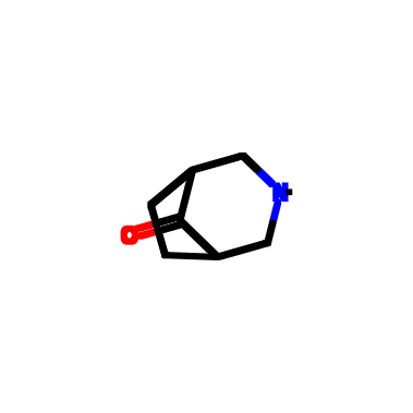 O=C1C2CCC1C[N]C2